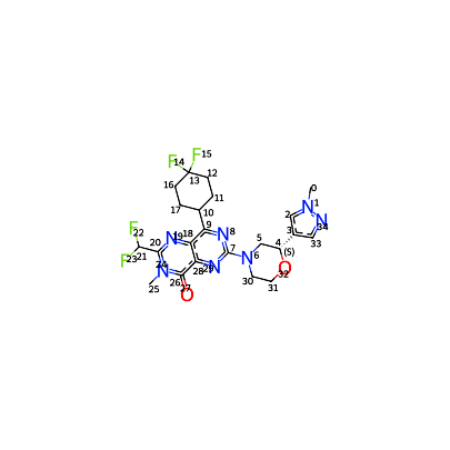 Cn1cc([C@H]2CN(c3nc(C4CCC(F)(F)CC4)c4nc(C(F)F)n(C)c(=O)c4n3)CCO2)cn1